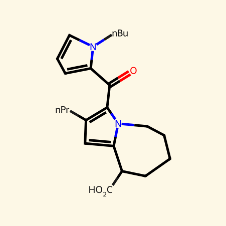 CCCCn1cccc1C(=O)c1c(CCC)cc2n1CCCCC2C(=O)O